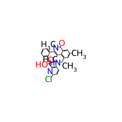 Cc1cc(C(C)Nc2ccc(Cl)nc2C(=O)O)c2c(C)c(-c3ccccc3)n(C)c(=O)c2c1